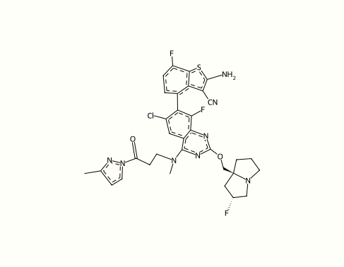 Cc1ccn(C(=O)CCN(C)c2nc(OC[C@@]34CCCN3C[C@H](F)C4)nc3c(F)c(-c4ccc(F)c5sc(N)c(C#N)c45)c(Cl)cc23)n1